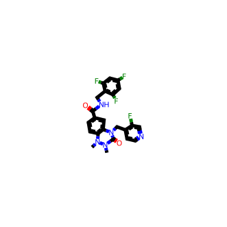 CN1C(=O)N(Cc2ccncc2F)c2cc(C(=O)NCc3c(F)cc(F)cc3F)ccc2N1C